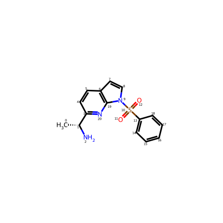 C[C@@H](N)c1ccc2ccn(S(=O)(=O)c3ccccc3)c2n1